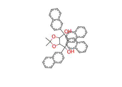 CC1(C)OC(C(O)(c2ccc3ccccc3c2)c2ccc3ccccc3c2)C(C(O)(c2ccc3ccccc3c2)c2ccc3ccccc3c2)O1